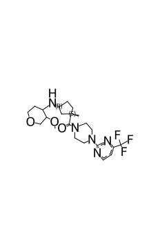 COC1COCCC1N[C@@H]1CC[C@](C)(C(=O)N2CCN(c3nccc(C(F)(F)F)n3)CC2)C1